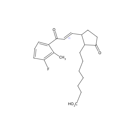 Cc1c(F)cccc1C(=O)/C=C/C1CCC(=O)C1CCCCCCC(=O)O